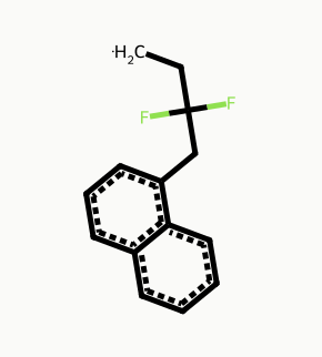 [CH2]CC(F)(F)Cc1cccc2ccccc12